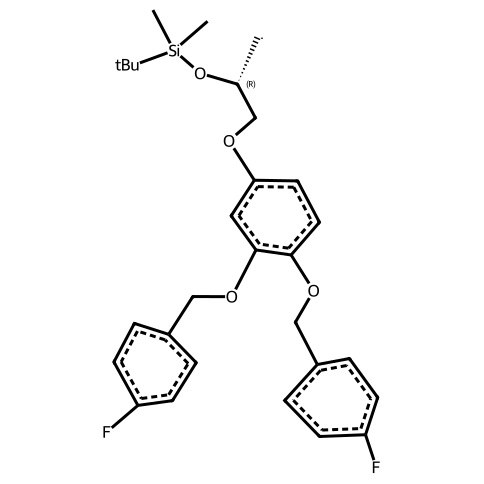 [CH2][C@H](COc1ccc(OCc2ccc(F)cc2)c(OCc2ccc(F)cc2)c1)O[Si](C)(C)C(C)(C)C